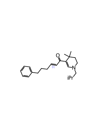 CC(C)CN1C=C(C(=O)/C=C/CCCc2ccccc2)C(C)(C)CC1